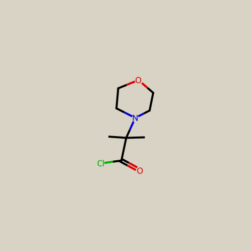 CC(C)(C(=O)Cl)N1CCOCC1